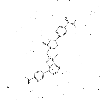 CNc1ccc(-c2ccnc3c2cc(CN2CC[C@H](c4ccc(C(=O)N(C)C)cc4)CC2=O)n3C)cn1